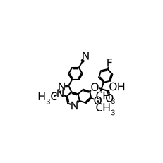 COc1cc2ncc3c(c(-c4ccc(C#N)cc4)nn3C)c2cc1OC(C)(C(=O)O)c1ccc(F)cc1